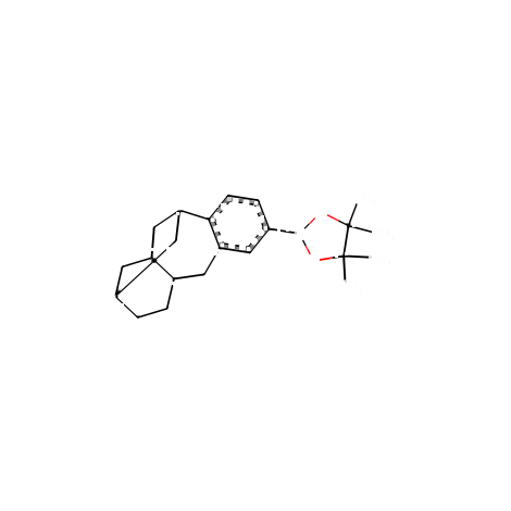 CC1(C)OB(c2ccc3c(c2)CC2CCC4CC3CC2C4)OC1(C)C